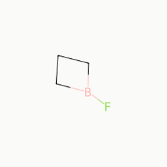 FB1CCC1